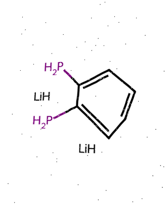 Pc1ccccc1P.[LiH].[LiH]